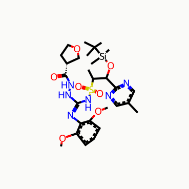 COc1cccc(OC)c1/N=C(/NNC(=O)[C@@H]1CCOC1)NS(=O)(=O)C(C)C(O[Si](C)(C)C(C)(C)C)c1ncc(C)cn1